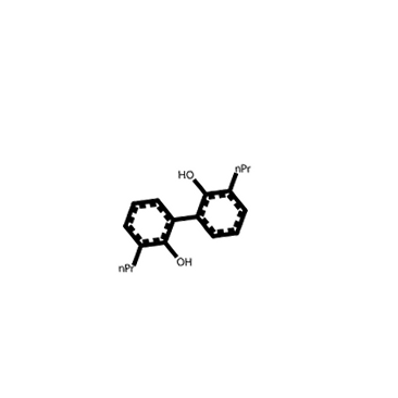 CCCc1cccc(-c2cccc(CCC)c2O)c1O